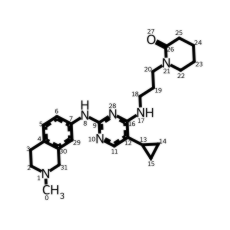 CN1CCc2ccc(Nc3ncc(C4CC4)c(NCCCN4CCCCC4=O)n3)cc2C1